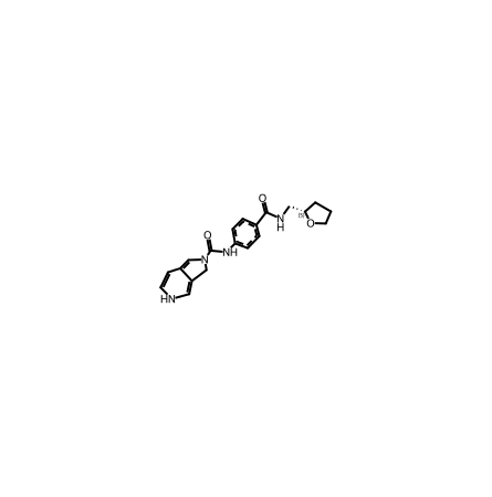 O=C(NC[C@@H]1CCCO1)c1ccc(NC(=O)N2C=C3C=CNC=C3C2)cc1